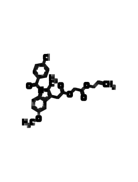 C=CCOC(=O)COC(=O)Cc1c(C)n(C(=O)c2ccc(Cl)cc2)c2ccc(OC)cc12